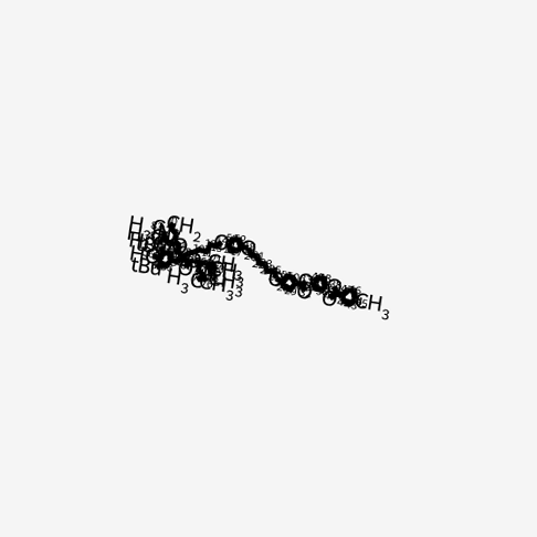 C=C1CC(OC(=O)C(CCCCCCOc2ccc(OCCCCCCOc3ccc(C(=O)Oc4ccc(OC(=O)c5ccc(C)cc5)cc4)cc3)cc2)(Cc2cc(C(C)(C)C)c(O)c(C(C)(C)C)c2)C(=O)OC2CC(C)(C)N(C)C(C)(C)C2)CC(C)(C)N1C